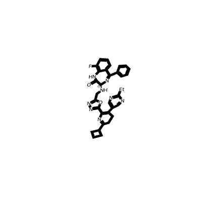 CCc1ncc(C2=C(c3nnc(CN[C@H]4N=C(c5ccccc5)c5cccc(F)c5NC4=O)o3)N=C(C3CCC3)CC2)cn1